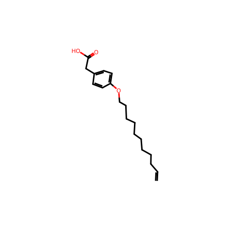 C=CCCCCCCCCCOc1ccc(CC(=O)O)cc1